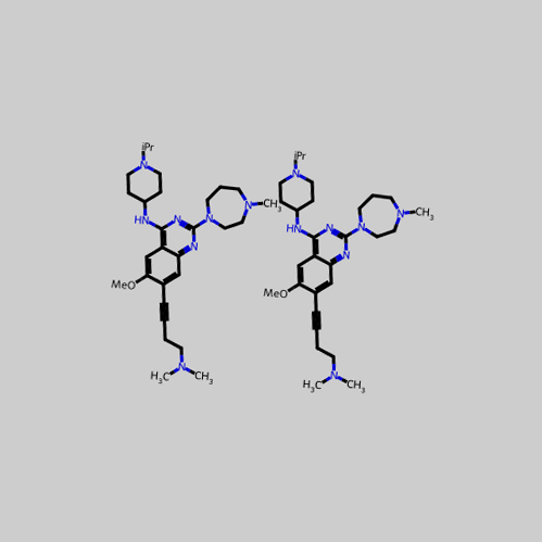 COc1cc2c(NC3CCN(C(C)C)CC3)nc(N3CCCN(C)CC3)nc2cc1C#CCCN(C)C.COc1cc2c(NC3CCN(C(C)C)CC3)nc(N3CCCN(C)CC3)nc2cc1C#CCCN(C)C